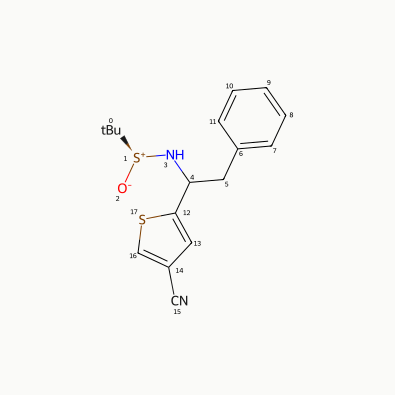 CC(C)(C)[S@+]([O-])NC(Cc1ccccc1)c1cc(C#N)cs1